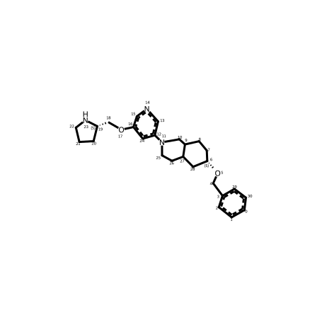 c1ccc(CO[C@H]2CCC3CN(c4cncc(OC[C@@H]5CCCN5)c4)CCC3C2)cc1